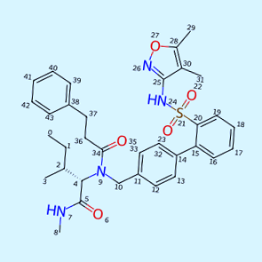 CCC(C)[C@@H](C(=O)NC)N(Cc1ccc(-c2ccccc2S(=O)(=O)Nc2noc(C)c2C)cc1)C(=O)CCc1ccccc1